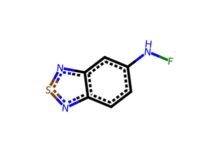 FNc1ccc2nsnc2c1